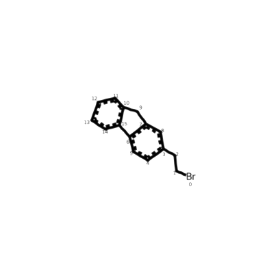 BrCCc1ccc2c(c1)Cc1ccccc1-2